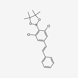 CC1(C)OB(c2c(Cl)cc(C=Cc3ccccc3)cc2Cl)OC1(C)C